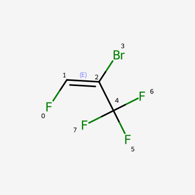 F/C=C(/Br)C(F)(F)F